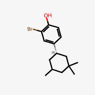 CC1C[C@H](c2ccc(O)c(Br)c2)CC(C)(C)C1